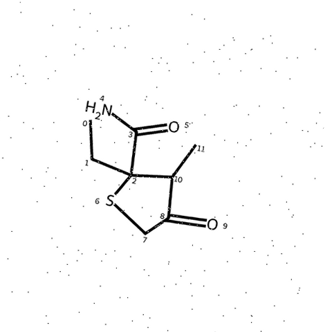 CCC1(C(N)=O)SCC(=O)[C]1C